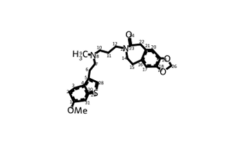 COc1ccc2c(CCN(C)CCCN3CCc4cc5c(cc4CC3=O)OCO5)csc2c1